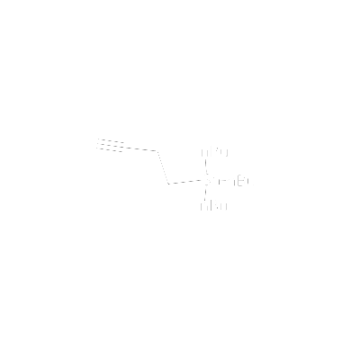 C#CC[CH2][Sn]([CH2]CCC)([CH2]CCC)[CH2]CCC